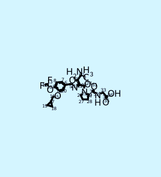 C[C@H](N)c1oc(-c2ccc(OC(F)F)c(OCC3CC3)c2)nc1C(=O)N1CCC[C@H]1C(=O)NCC(=O)O